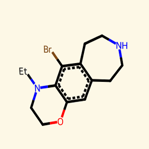 CCN1CCOc2cc3c(c(Br)c21)CCNCC3